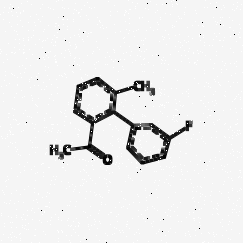 CC(=O)c1cccc(C)c1-c1cccc(F)c1